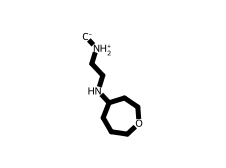 [CH2-][NH2+]CCNC1CCCOCC1